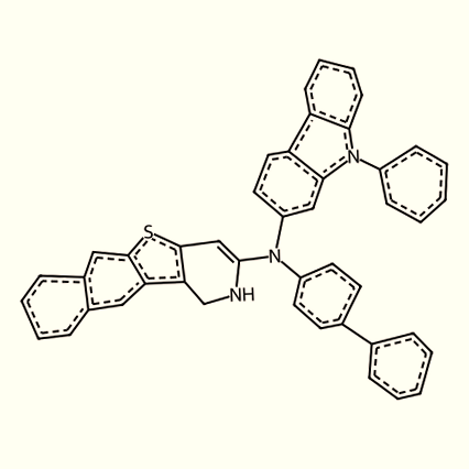 C1=C(N(c2ccc(-c3ccccc3)cc2)c2ccc3c4ccccc4n(-c4ccccc4)c3c2)NCc2c1sc1cc3ccccc3cc21